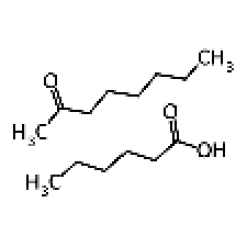 CCCCCC(=O)O.CCCCCCC(C)=O